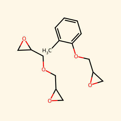 C(OCC1CO1)C1CO1.Cc1ccccc1OCC1CO1